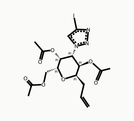 C=CC[C@H]1O[C@H](COC(C)=O)[C@H](OC(C)=O)[C@H](n2cc(I)nn2)[C@H]1OC(C)=O